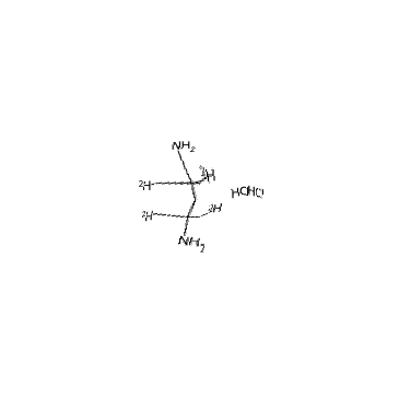 Cl.Cl.[2H]C([2H])(N)C([2H])([2H])N